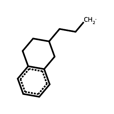 [CH2]CCC1CCc2ccccc2C1